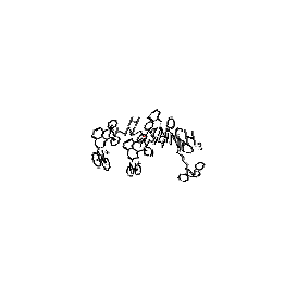 C[C@H](NC(=O)CCCCCN1C(=O)C=CC1=O)C(=O)N[C@@H](Cc1ccccc1)C(=O)N(CCCNCCN1C(=O)c2cccc3cc([N+](=O)[O-])cc(c23)C1=O)CCN1C(=O)c2cccc3cc([N+](=O)[O-])cc(c23)C1=O